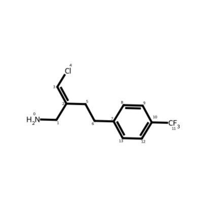 NC/C(=C/Cl)CCc1ccc(C(F)(F)F)cc1